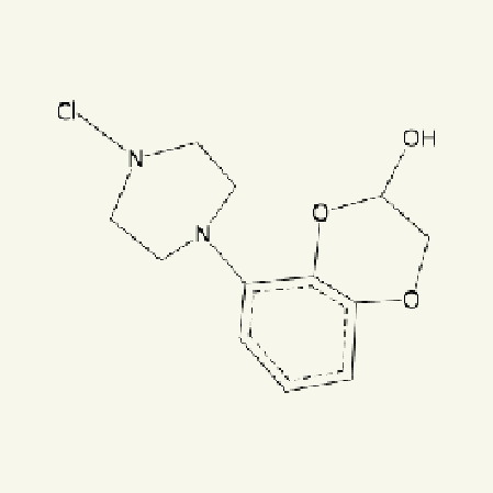 OC1COc2cccc(N3CCN(Cl)CC3)c2O1